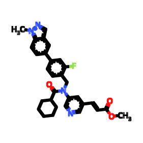 COC(=O)/C=C/c1cncc(N(Cc2ccc(-c3ccc4c(cnn4C)c3)cc2F)C(=O)C2CCCCC2)c1